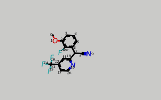 COc1cccc(C(C#N)c2cc(C(F)(F)F)ccn2)c1F